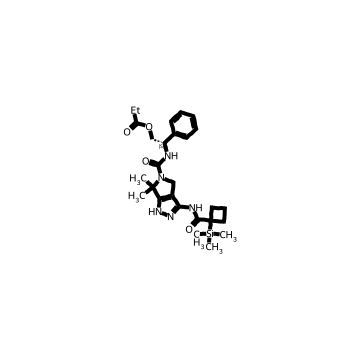 CCC(=O)OC[C@@H](NC(=O)N1Cc2c(NC(=O)C3([Si](C)(C)C)CCC3)n[nH]c2C1(C)C)c1ccccc1